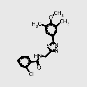 COc1c(C)cc(-c2nnc(CNC(=O)c3ccccc3Cl)s2)cc1C